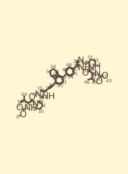 COC(=O)N[C@H](C(=O)N1CCC[C@H]1c1ncc(C#Cc2ccc(-c3ccc(-c4cnc([C@@H]5CCCN5C(=O)[C@H](NC(=O)OC)C(C)C)[nH]4)cc3)c3c2C2CCC3C2)[nH]1)C(C)C